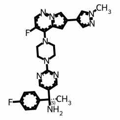 Cn1cc(-c2cc3c(N4CCN(c5ncc([C@@](C)(N)c6ccc(F)cc6)cn5)CC4)c(F)cnn3c2)cn1